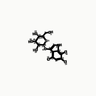 OC[C@H]1O[C@H](Oc2c[nH]c3c(Cl)c(Cl)cc(Cl)c23)[C@@H](O)[C@@H](O)[C@@H]1O